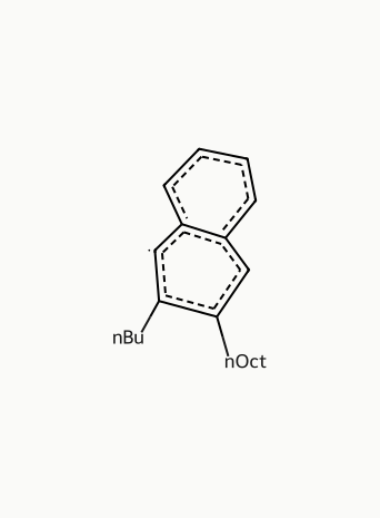 CCCCCCCCc1cc2ccccc2[c]c1CCCC